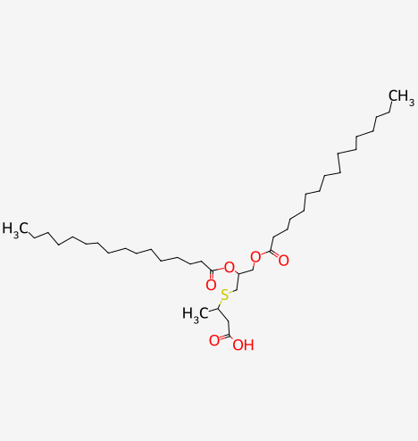 CCCCCCCCCCCCCCCC(=O)OCC(CSC(C)CC(=O)O)OC(=O)CCCCCCCCCCCCCCC